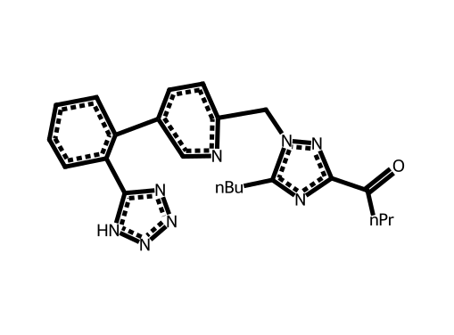 CCCCc1nc(C(=O)CCC)nn1Cc1ccc(-c2ccccc2-c2nnn[nH]2)cn1